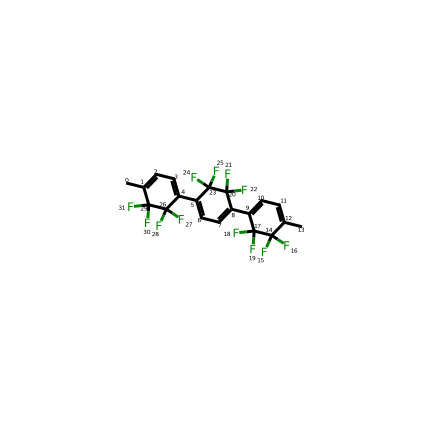 CC1=CC=C(C2=CC=C(C3=CC=C(C)C(F)(F)C3(F)F)C(F)(F)C2(F)F)C(F)(F)C1(F)F